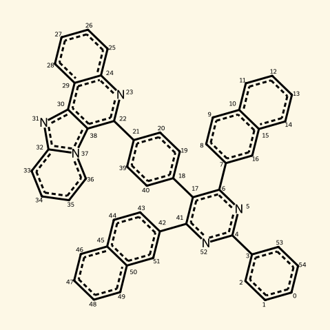 c1ccc(-c2nc(-c3ccc4ccccc4c3)c(-c3ccc(-c4nc5ccccc5c5nc6ccccn6c45)cc3)c(-c3ccc4ccccc4c3)n2)cc1